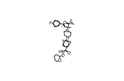 CN(C)C(=O)C(C)(/C=C/c1ccc(F)cc1)N1CCN(c2ncc(C(=O)NOC3CCCCO3)cn2)CC1